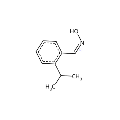 CC(C)c1ccccc1/C=N\O